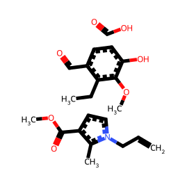 C=CCn1ccc(C(=O)OC)c1C.CCc1c(C=O)ccc(O)c1OC.O=CO